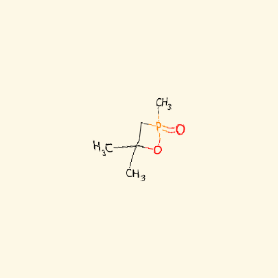 CC1(C)CP(C)(=O)O1